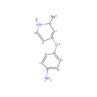 [2H]C1C=C(Oc2ccc(N)cc2)C=CN1C